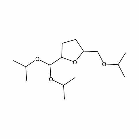 CC(C)OCC1CCC(C(OC(C)C)OC(C)C)O1